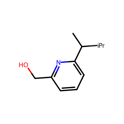 CC(C)C(C)c1cccc(CO)n1